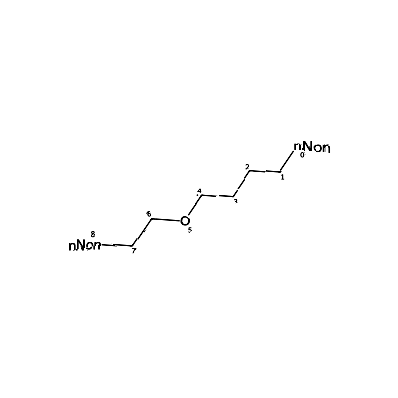 CCCCCCCCCCCC[CH]OCCCCCCCCCCC